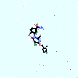 [CH2]c1cc(F)ccc1COc1nc(C)n(-c2cc(C(N)=O)ccc2C)c(=O)c1Br